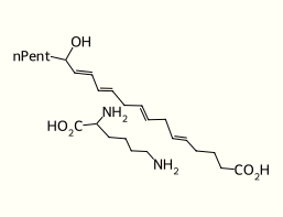 CCCCCC(O)C=CC=CCC=CCC=CCCCC(=O)O.NCCCCC(N)C(=O)O